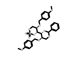 COc1ccc(CO[C@@H]2COC(c3ccccc3)O[C@H]2[C@@H]2OS(=O)(=O)OC[C@H]2OCc2ccc(OC)cc2)cc1